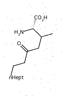 CCCCCCCCCC(=O)CC(C)[C@H](N)C(=O)O